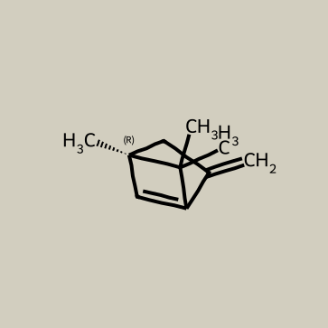 C=C1C[C@]2(C)C=C1C2(C)C